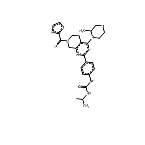 CC(I)NC(=O)Nc1ccc(-c2nc3c(c(N4CCOCC4C)n2)CCN(C(=O)c2nccs2)C3)cc1